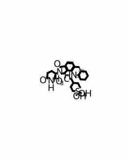 CC(N[C@H]1CCCC[C@@H]1Cc1ccc2c(c1)CN(C1CCC(=O)NC1=O)C2=O)C1CCS(O)(O)CC1